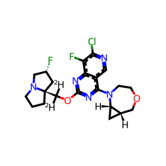 [2H]C([2H])(Oc1nc(N2CCOC[C@@H]3C[C@@H]32)c2cnc(Cl)c(F)c2n1)[C@@]12CCCN1C[C@H](F)C2